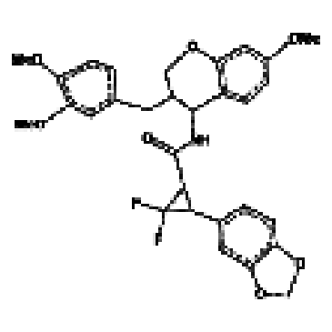 COc1ccc2c(c1)OCC(Cc1ccc(OC)c(OC)c1)C2NC(=O)C1C(c2ccc3c(c2)OCO3)C1(F)F